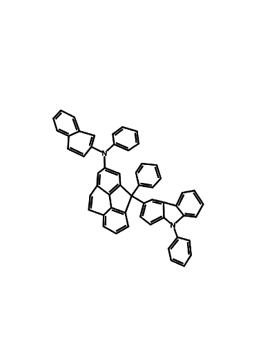 c1ccc(N(c2ccc3ccccc3c2)c2cc3c4c(ccc5cccc(c54)C3(c3ccccc3)c3ccc4c(c3)c3ccccc3n4-c3ccccc3)c2)cc1